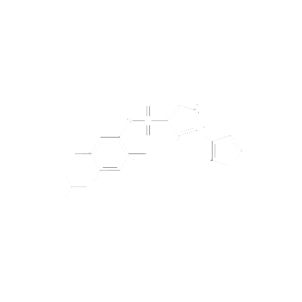 O=S(=O)(Nc1cc(F)c(OC(F)F)cc1F)c1c[nH]c(-c2ccsc2)c1